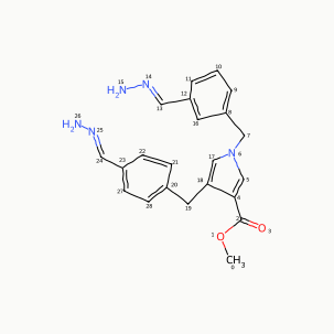 COC(=O)c1cn(Cc2cccc(C=NN)c2)cc1Cc1ccc(C=NN)cc1